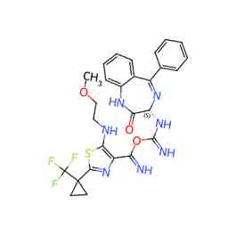 COCCNc1sc(C2(C(F)(F)F)CC2)nc1C(=N)OC(=N)N[C@H]1N=C(c2ccccc2)c2ccccc2NC1=O